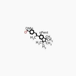 CCCCCc1cc2c(cc1C(C)=Cc1ccc(C(=O)OC)cc1)C(C)(C)C(C)C2(C)C